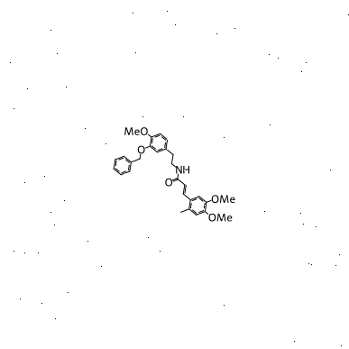 COc1cc(C)c(C=CC(=O)NCCc2ccc(OC)c(OCc3ccccc3)c2)cc1OC